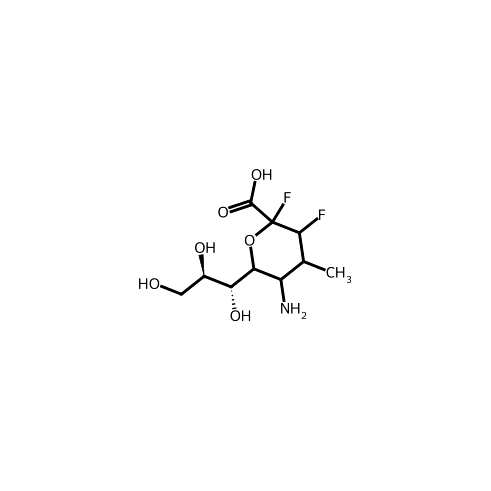 CC1C(N)C([C@H](O)[C@H](O)CO)OC(F)(C(=O)O)C1F